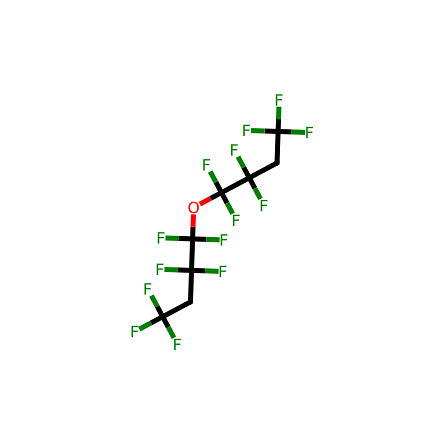 FC(F)(F)CC(F)(F)C(F)(F)OC(F)(F)C(F)(F)CC(F)(F)F